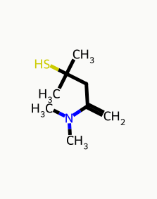 C=C(CC(C)(C)S)N(C)C